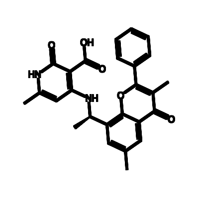 Cc1cc([C@@H](C)Nc2cc(C)[nH]c(=O)c2C(=O)O)c2oc(-c3ccccc3)c(C)c(=O)c2c1